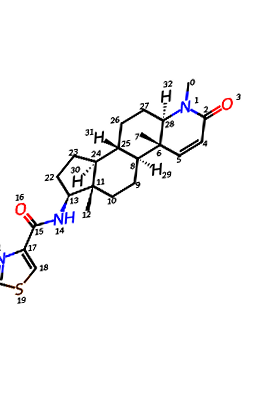 CN1C(=O)C=C[C@]2(C)[C@H]3CC[C@]4(C)[C@@H](NC(=O)c5cscn5)CC[C@H]4[C@@H]3CC[C@@H]12